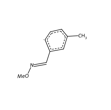 CO/N=C/c1[c]ccc(C)c1